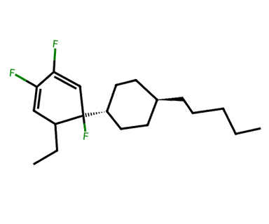 CCCCC[C@H]1CC[C@H](C2(F)C=C(F)C(F)=CC2CC)CC1